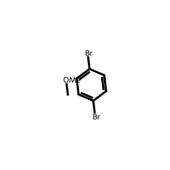 Brc1ccc(Br)cc1.COC